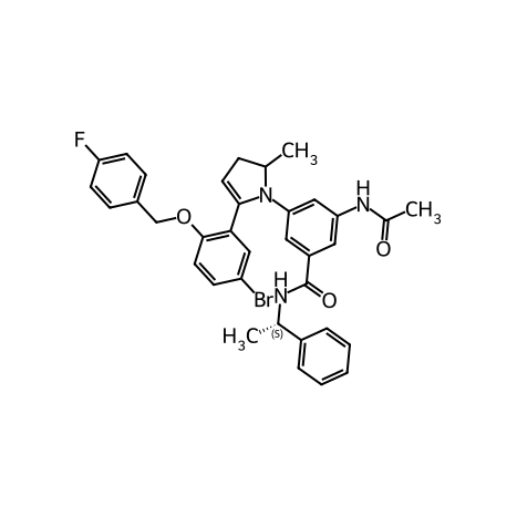 CC(=O)Nc1cc(C(=O)N[C@@H](C)c2ccccc2)cc(N2C(c3cc(Br)ccc3OCc3ccc(F)cc3)=CCC2C)c1